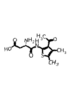 CC(=O)c1c(NC(=O)[C@@H](N)CC(=O)O)sc(C)c1C